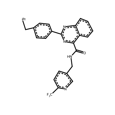 CC(C)Cc1ccc(-c2nc(C(=O)NCc3ccc(C(F)(F)F)nc3)c3ccccc3n2)cc1